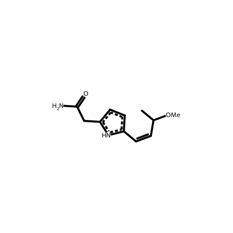 COC(C)/C=C\c1ccc(CC(N)=O)[nH]1